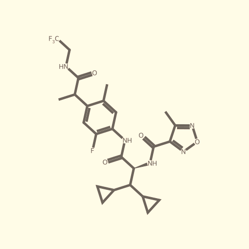 Cc1cc(NC(=O)[C@@H](NC(=O)c2nonc2C)C(C2CC2)C2CC2)c(F)cc1C(C)C(=O)NCC(F)(F)F